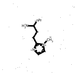 CCCC(N)CCc1nccn1C